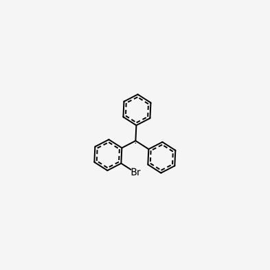 Brc1ccccc1[C](c1ccccc1)c1ccccc1